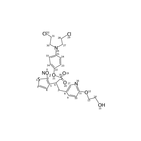 O=[N+]([O-])c1sccc1C(Cc1ccc(OCCO)nc1)S(=O)(=O)Oc1ccc(N(CCCl)CCCl)cc1